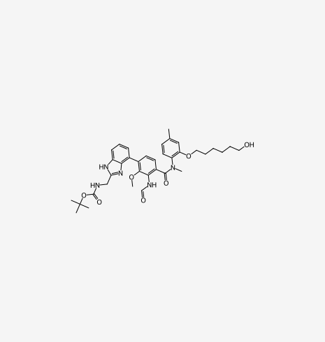 COc1c(-c2cccc3[nH]c(CNC(=O)OC(C)(C)C)nc23)ccc(C(=O)N(C)c2ccc(C)cc2OCCCCCCO)c1NC=O